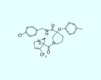 Cc1ccc(OC2(C(=O)NCc3ccc(Cl)cc3)CCCN(C(=O)C34C[N@]3CC=C4C(F)(F)F)C2)cc1